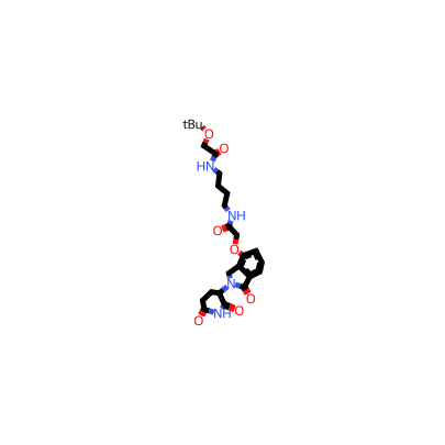 CC(C)(C)OCC(=O)NCCCCNC(=O)COc1cccc2c1CN(C1CCC(=O)NC1=O)C2=O